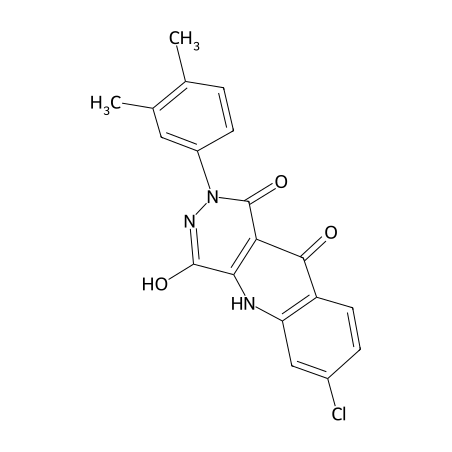 Cc1ccc(-n2nc(O)c3[nH]c4cc(Cl)ccc4c(=O)c3c2=O)cc1C